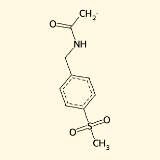 [CH2]C(=O)NCc1ccc(S(C)(=O)=O)cc1